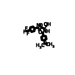 CN(C)c1ccc(C(=O)N[C@@H](CO)c2nc(-c3ccc(C(F)(F)F)cc3)no2)cc1